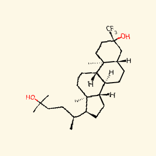 C[C@@H](CCC(C)(C)O)[C@@H]1CC[C@H]2[C@@H]3CC[C@H]4C[C@](O)(C(F)(F)F)CC[C@]4(C)[C@H]3CC[C@@]21C